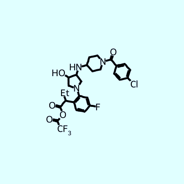 CCC(C(=O)OC(=O)C(F)(F)F)c1ccc(F)cc1N1CC(O)C(NC2CCN(C(=O)c3ccc(Cl)cc3)CC2)C1